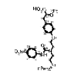 CCCCCSCCN(CCOc1ccc(CC(OCC)C(=O)O)cc1)C(=O)Nc1ccc([N+](=O)[O-])cc1